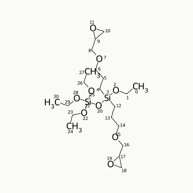 CCO[Si](CCCOCC1CO1)(CCCOCC1CO1)O[Si](OCC)(OCC)OCC